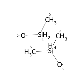 C[SiH2][O].C[SiH](C)[O]